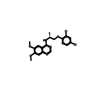 COc1cc2ncnc(N[C@H](C)COc3ncc(Cl)cc3Cl)c2cc1OC